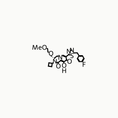 COCCOC[C@@H]1Cn2cc(-c3nnc(Cc4ccc(F)cc4)s3)c(=O)c(O)c2C(=O)N1C1CCC1